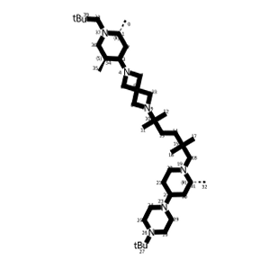 C[C@@H]1CC(N2CC3(C2)CN(C(C)(C)CCC(C)(C)CN2CCC(N4CCN(C(C)(C)C)CC4)C[C@H]2C)C3)[C@@H](C)CN1CC(C)(C)C